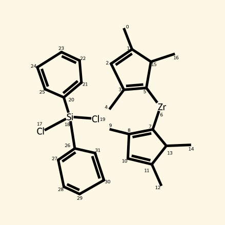 CC1=CC(C)=[C]([Zr][C]2=C(C)C=C(C)C2C)C1C.Cl[Si](Cl)(c1ccccc1)c1ccccc1